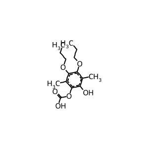 CCCOc1c(C)c(O)c(OC(=O)O)c(C)c1OCCC